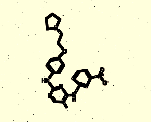 Cc1cnc(Nc2ccc(OCCN3CCCC3)cc2)nc1Nc1cccc([N+](=O)[O-])c1